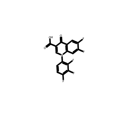 O=C(O)c1cn(-c2ccc(F)c(F)c2F)c2cc(F)c(F)cc2c1=O